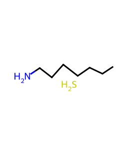 CCCCCCCN.S